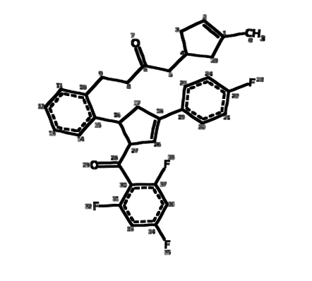 CC1=CCC(CC(=O)CCc2ccccc2C2CC(c3ccc(F)cc3)=CC2C(=O)c2c(F)cc(F)cc2F)C1